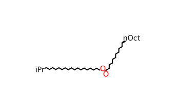 CCCCCCCCC=CCCCCCCCCCC(=O)OCCCCCCCCCCCCCCCCCCC(C)C